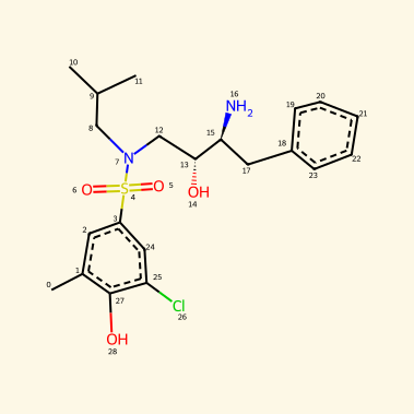 Cc1cc(S(=O)(=O)N(CC(C)C)C[C@@H](O)[C@@H](N)Cc2ccccc2)cc(Cl)c1O